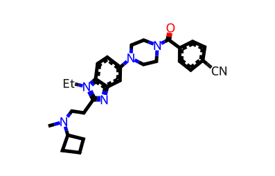 CCn1c(CCN(C)C2CCC2)nc2cc(N3CCN(C(=O)c4ccc(C#N)cc4)CC3)ccc21